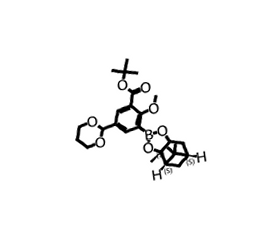 COc1c(B2OC3C[C@@H]4C[C@@H](C4(C)C)[C@]3(C)O2)cc(C2OCCCO2)cc1C(=O)OC(C)(C)C